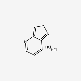 C1=c2ncccc2=NC1.Cl.Cl